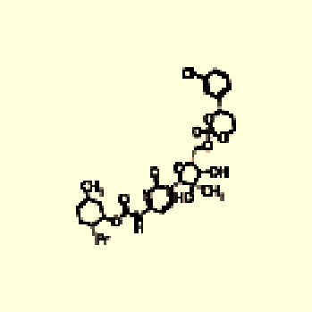 CC(C)[C@@H]1CC[C@@H](C)C[C@H]1OC(=O)Nc1ccn([C@@H]2O[C@H](COP3(=O)OCC[C@@H](c4cccc(Cl)c4)O3)[C@@H](O)[C@@]2(C)O)c(=O)n1